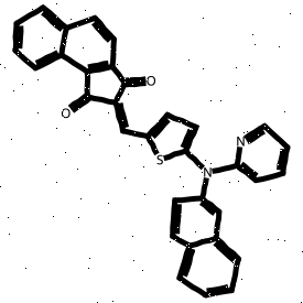 O=C1/C(=C\c2ccc(N(c3ccc4ccccc4c3)c3ccccn3)s2)C(=O)c2c1ccc1ccccc21